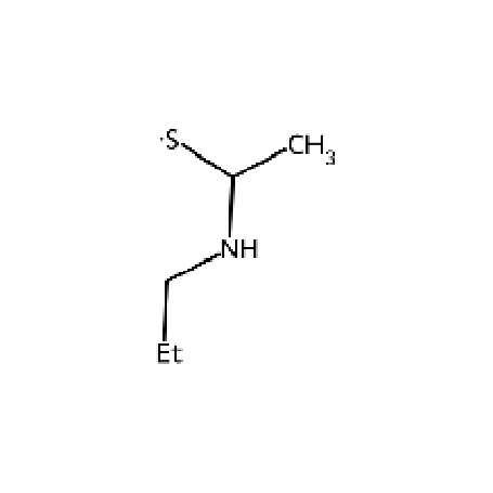 CCCNC(C)[S]